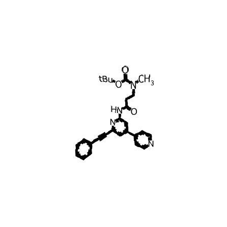 CN(CCC(=O)Nc1cc(-c2ccncc2)cc(C#Cc2ccccc2)n1)C(=O)OC(C)(C)C